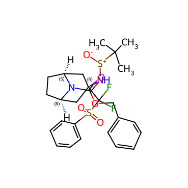 CC(C)(C)[S+]([O-])N[C@@]1(C(F)(F)S(=O)(=O)c2ccccc2)C[C@H]2CC[C@@H](C1)N2C(=O)OCc1ccccc1